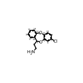 NCCC1Oc2cc(Cl)ccc2Oc2ccccc21